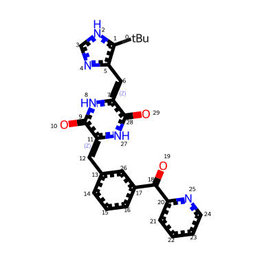 CC(C)(C)c1[nH]cnc1/C=c1\[nH]c(=O)/c(=C/c2cccc(C(=O)c3ccccn3)c2)[nH]c1=O